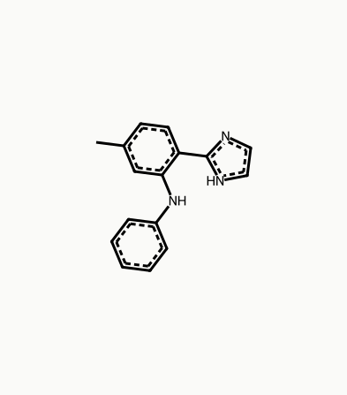 Cc1ccc(-c2ncc[nH]2)c(Nc2ccccc2)c1